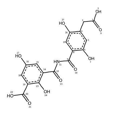 O=C(O)Cc1cc(O)c(C(=O)NC(=O)c2cc(O)cc(C(=O)O)c2O)cc1O